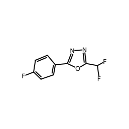 Fc1ccc(-c2nnc(C(F)F)o2)cc1